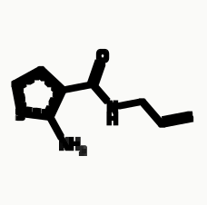 C=CCNC(=O)c1ccsc1N